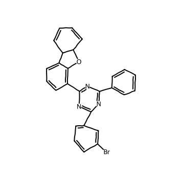 Brc1cccc(-c2nc(-c3ccccc3)nc(-c3cccc4c3OC3C=CC=CC43)n2)c1